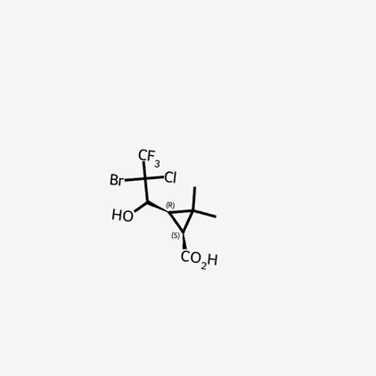 CC1(C)[C@H](C(O)C(Cl)(Br)C(F)(F)F)[C@@H]1C(=O)O